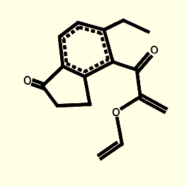 C=COC(=C)C(=O)c1c(CC)ccc2c1CCC2=O